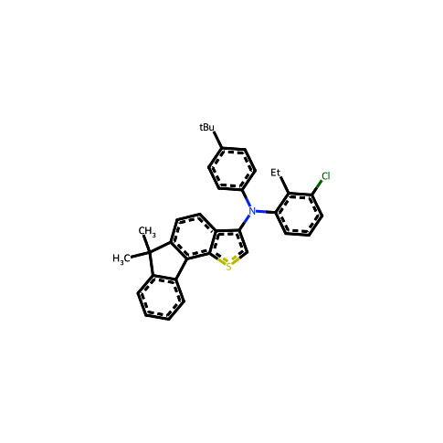 CCc1c(Cl)cccc1N(c1ccc(C(C)(C)C)cc1)c1csc2c3c(ccc12)C(C)(C)c1ccccc1-3